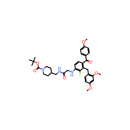 COc1ccc(C(=O)c2ccc(NCC(=O)NCC3CCN(C(=O)OC(C)(C)C)CC3)c(F)c2Cc2ccc(OC)cc2OC)cc1